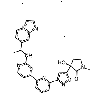 CC(Nc1nccc(-c2cccc(-c3cc([C@]4(O)CCN(C)C4=O)on3)n2)n1)c1ccn2ccnc2c1